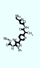 CC(C(=O)Nc1cc(CC(C)(C)C)no1)c1ccc(-c2nn(C(C)C)c(NC(=O)OC(C)(C)C)c2C#N)cn1